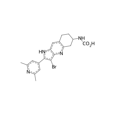 Cc1cc(-c2[nH]c3cc4c(nc3c2Br)CC(NC(=O)O)CC4)cc(C)n1